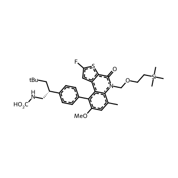 COc1cc(C)c2c(c1-c1ccc([C@H](CNC(=O)O)CC(C)(C)C)cc1)c1cc(F)sc1c(=O)n2COCC[Si](C)(C)C